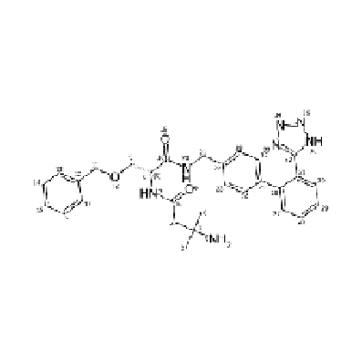 CC(C)(N)CC(=O)N[C@H](COCc1ccccc1)C(=O)NCc1ccc(-c2ccccc2-c2nnn[nH]2)cc1